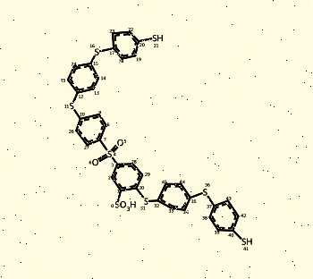 O=S(=O)(O)c1cc(S(=O)(=O)c2ccc(Sc3ccc(Sc4ccc(S)cc4)cc3)cc2)ccc1Sc1ccc(Sc2ccc(S)cc2)cc1